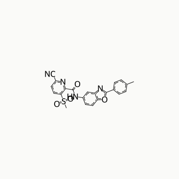 Cc1ccc(-c2nc3cc(NC(=O)c4nc(C#N)ccc4S(C)(=O)=O)ccc3o2)cc1